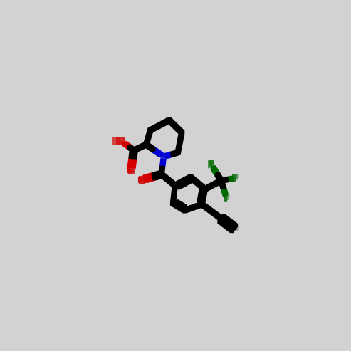 [C]#Cc1ccc(C(=O)N2CCCCC2C(=O)O)cc1C(F)(F)F